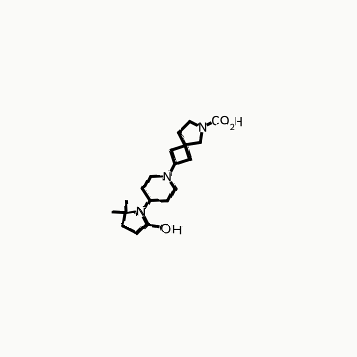 CC1(C)CCC(O)N1C1CCN(C2CC3(CCN(C(=O)O)C3)C2)CC1